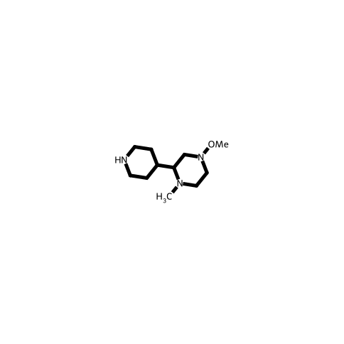 CON1CCN(C)C(C2CCNCC2)C1